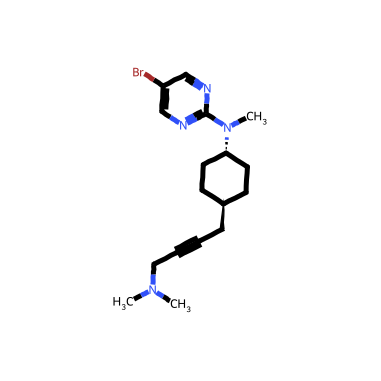 CN(C)CC#CC[C@H]1CC[C@H](N(C)c2ncc(Br)cn2)CC1